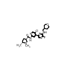 C[C@@H]1CC[C@@H](C(=O)Nc2cc(-c3cnc(F)c(NCC4CCOCC4)n3)c(Cl)cn2)CN1C